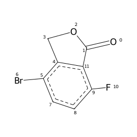 O=C1OCc2c(Br)ccc(F)c21